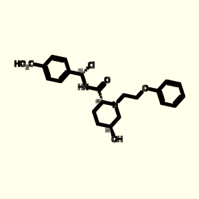 O=C(O)c1ccc([C@H](Cl)NC(=O)[C@H]2CC[C@H](O)CN2CCOc2ccccc2)cc1